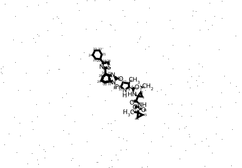 C=C[C@@H]1C[C@]1(NC(=O)[C@H]1NC[C@H](Oc2nc3c(-c4nc(C5CCCCC5)cs4)cccc3n2C(C)C)[C@H]1C)C(=O)NS(=O)(=O)C1(C)CC1